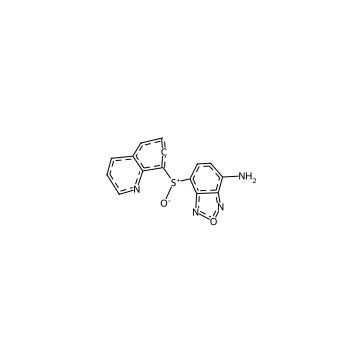 Nc1ccc([S+]([O-])c2cccc3cccnc23)c2nonc12